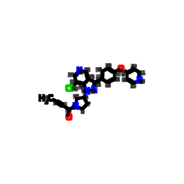 CC#CC(=O)N1CC[C@H](n2nc(-c3ccc(Oc4ccncc4)cc3)c3cncc(Cl)c32)C1